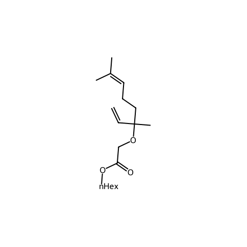 C=CC(C)(CCC=C(C)C)OCC(=O)OCCCCCC